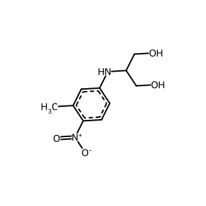 Cc1cc(NC(CO)CO)ccc1[N+](=O)[O-]